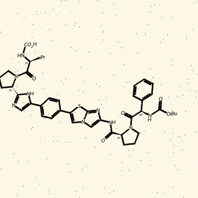 CC(C)COC(=O)N[C@@H](C(=O)N1CCC[C@H]1C(=O)Nc1cn2cc(-c3ccc(-c4cnc([C@@H]5CCCN5C(=O)[C@@H](NC(=O)O)C(C)C)[nH]4)cc3)sc2n1)c1ccccc1